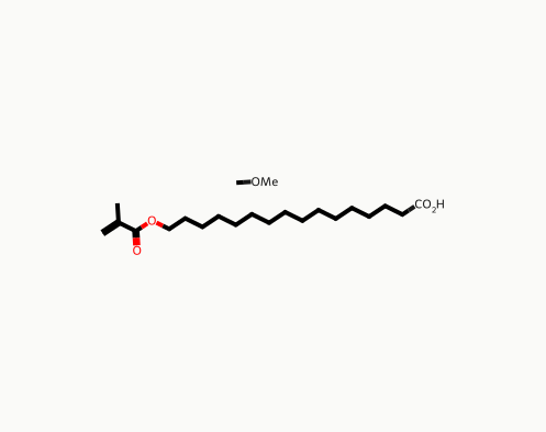 C=C(C)C(=O)OCCCCCCCCCCCCCCCC(=O)O.COC